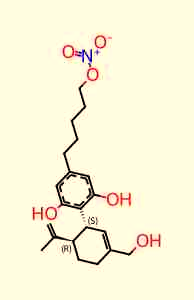 C=C(C)[C@@H]1CCC(CO)=C[C@H]1c1c(O)cc(CCCCCO[N+](=O)[O-])cc1O